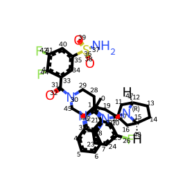 Cc1nc2ccccc2n1C1C[C@H]2CC[C@@H](C1)N2CCC1(c2cccc(F)c2)CCN(C(=O)c2cc(S(N)(=O)=O)cc(F)c2F)CC1